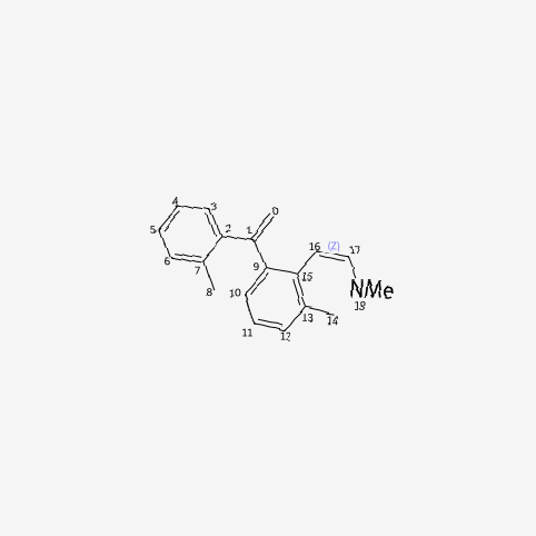 C=C(c1ccccc1C)c1cccc(C)c1/C=C\NC